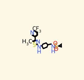 Cc1sc(NC2CCC(CNS(=O)(=O)C3CC3)CC2)nc1-c1ccc(C(F)(F)F)nc1